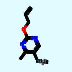 C=CCOc1ncc(C(=O)OCC)c(C)n1